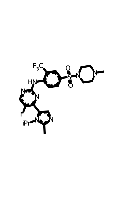 Cc1ncc(-c2nc(Nc3ccc(S(=O)(=O)N4CCN(C)CC4)cc3C(F)(F)F)ncc2F)n1C(C)C